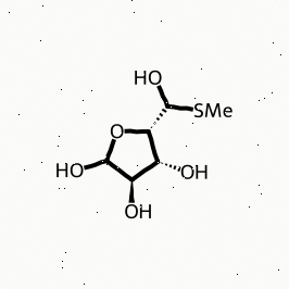 CSC(O)[C@H]1OC(O)[C@H](O)[C@H]1O